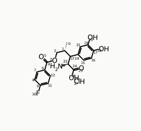 C[C@@H](COC(=O)c1ccc(F)cc1)C(c1ccc(O)c(O)c1)[C@H](N)C(=O)O.Cl